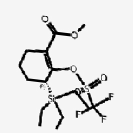 CC[Si](CC)(CC)[C@@H]1CCCC(C(=O)OC)=C1OS(=O)(=O)C(F)(F)F